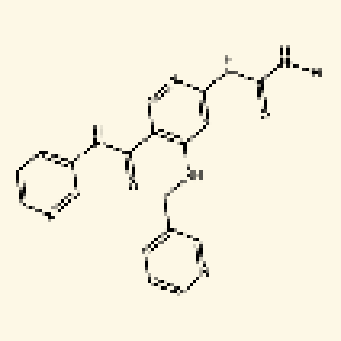 CCNC(=O)Nc1cc(NCc2cccnc2)c(C(=O)Nc2cccnc2)cn1